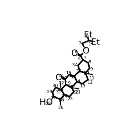 CCC(CC)COC(=O)C1CC[C@]2(C)CCC3C(=CC(=O)C4[C@@]3(C)CCC3[C@@H](C)C(O)CC[C@@]34C)C2C1